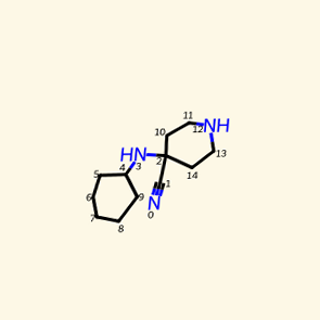 N#CC1(NC2CCCCC2)CCNCC1